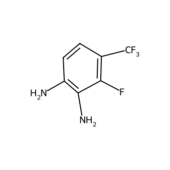 Nc1ccc(C(F)(F)F)c(F)c1N